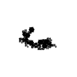 COc1cccc(Nc2c(C(N)=O)cnc3c(C)cc(S(=O)(=O)c4cccc(C(=O)N5CCN(C(=O)c6cccc(CC(C)(C)NCC(O[Si](C)(C)C(C)(C)C)c7ccc(OCc8ccccc8)c8[nH]c(=O)ccc78)c6)CC5)c4)cc23)c1